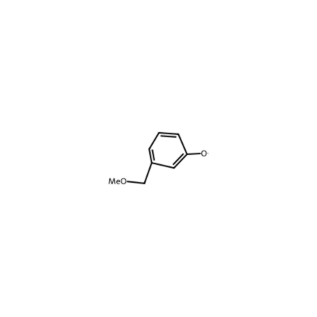 COCc1cccc([O])c1